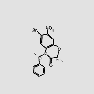 C[C@H]1Oc2cc([N+](=O)[O-])c(Br)cc2N([C@@H](C)c2ccccc2)C1=O